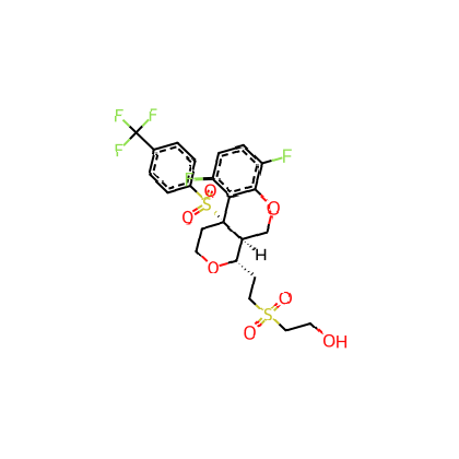 O=S(=O)(CCO)CC[C@@H]1OCC[C@@]2(S(=O)(=O)c3ccc(C(F)(F)F)cc3)c3c(F)ccc(F)c3OC[C@@H]12